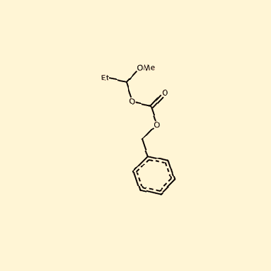 CCC(OC)OC(=O)OCc1ccccc1